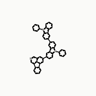 c1ccc(-n2c3ccccc3c3cc(-c4ccc5c(c4)c4cc(-c6cc7c8c(cncc8c6)-c6ccccc6-7)ccc4n5-c4ccccc4)ccc32)cc1